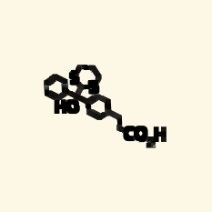 O=C(O)CCc1ccc(C(O)(c2ccccc2)C2SCCCS2)cc1